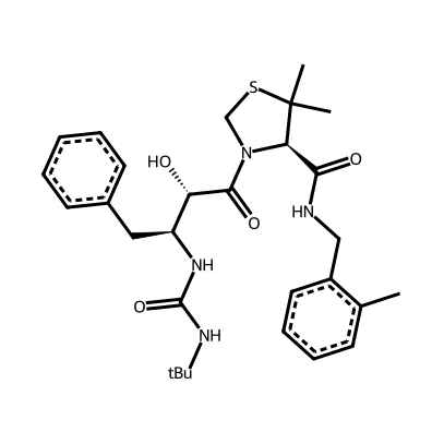 Cc1ccccc1CNC(=O)[C@H]1N(C(=O)[C@@H](O)[C@H](Cc2ccccc2)NC(=O)NC(C)(C)C)CSC1(C)C